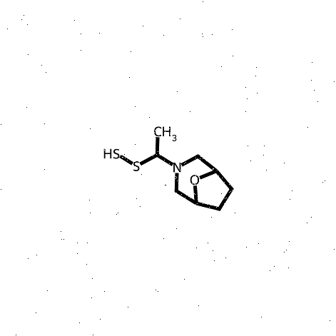 CC(SS)N1CC2CCC(C1)O2